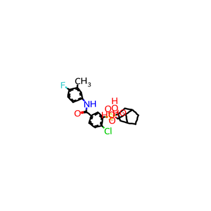 Cc1cc(NC(=O)c2ccc(Cl)c(S(=O)(=O)[C@]3(O)CC4CCC(C3)[C@@]4(O)CO)c2)ccc1F